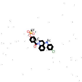 CC(=O)N(c1ccc(Cl)cc1)[C@@H]1C[C@H](C)N(C(=O)c2ccc(OS(=O)(=O)C(F)(F)F)cc2)c2ccccc21